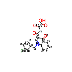 O=C(O)C(=O)CC(=O)c1cn(Cc2cccc(F)c2)c2ccccc2c1=O